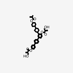 C=C(C)C(=O)OC1CCC(C2CCC(c3cc(-c4ccc(-c5ccc(OC(=O)C(=C)CO)cc5)cc4)ccc3OC(=O)C(=C)CO)CC2)CC1